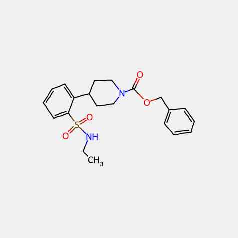 CCNS(=O)(=O)c1ccccc1C1CCN(C(=O)OCc2ccccc2)CC1